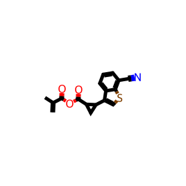 C=C(C)C(=O)OC(=O)C1CC1c1csc2c(C#N)cccc12